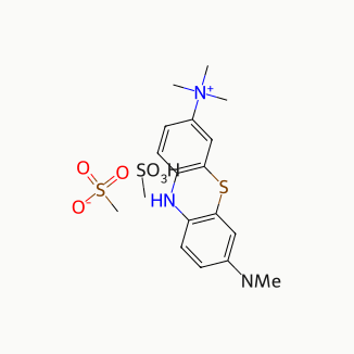 CNc1ccc2c(c1)Sc1cc([N+](C)(C)C)ccc1N2.CS(=O)(=O)O.CS(=O)(=O)[O-]